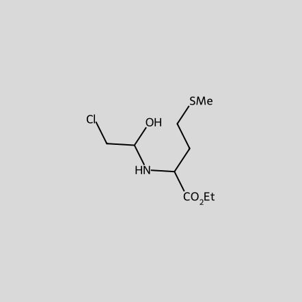 CCOC(=O)C(CCSC)NC(O)CCl